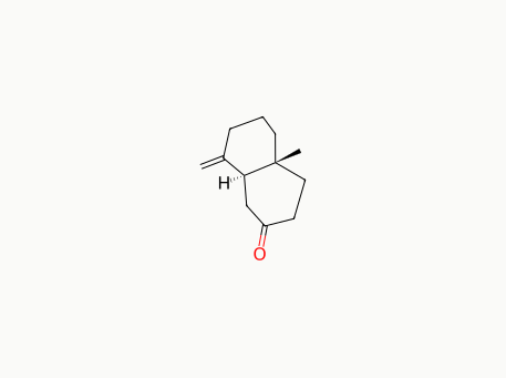 C=C1CCC[C@]2(C)CCC(=O)C[C@@H]12